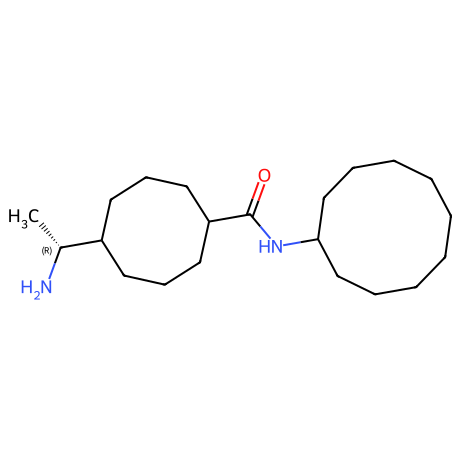 C[C@@H](N)C1CCCC(C(=O)NC2CCCCCCCCC2)CCC1